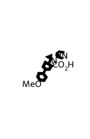 COc1ccc(-c2ccc(C3(N(C(=O)O)C4CN5CCC4CC5)CC3)cc2)cc1